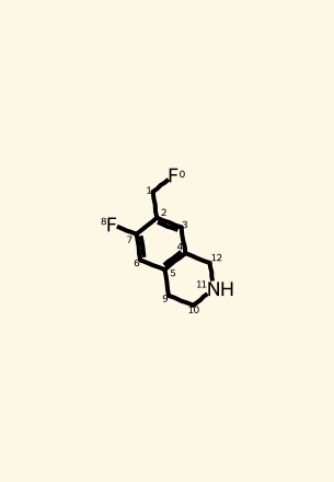 FCc1cc2c(cc1F)CCNC2